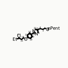 CCCCCOCCCc1cnc(-c2ccc(OCCC(Cl)CC)cc2)nc1